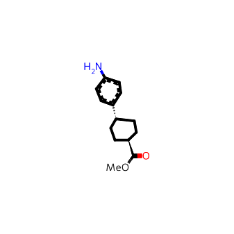 COC(=O)[C@H]1CC[C@H](c2ccc(N)cc2)CC1